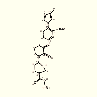 COc1cc(C=C2CCCN(C3CCN(C(=O)OC(C)(C)C)CC3)C2=O)ccc1-n1cnc(C)c1